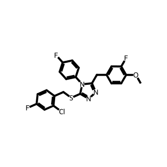 COc1ccc(Cc2nnc(SCc3ccc(F)cc3Cl)n2-c2ccc(F)cc2)cc1F